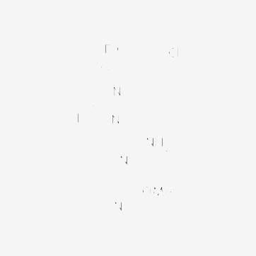 CC[C@@H]1CN(C(=O)c2ccc(Cl)cc2C(F)(F)F)CCN1c1ccc(-c2cccnc2COC)nc1CN